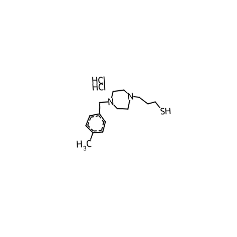 Cc1ccc(CN2CCN(CCCS)CC2)cc1.Cl.Cl